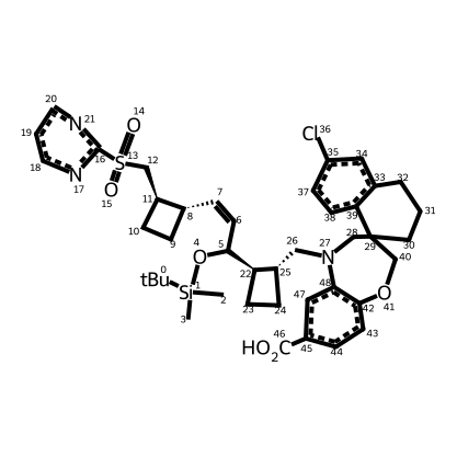 CC(C)(C)[Si](C)(C)OC(/C=C\[C@@H]1CC[C@H]1CS(=O)(=O)c1ncccn1)[C@@H]1CC[C@H]1CN1CC2(CCCc3cc(Cl)ccc32)COc2ccc(C(=O)O)cc21